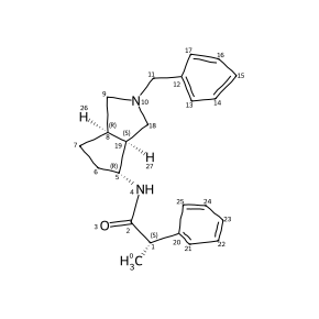 C[C@H](C(=O)N[C@@H]1CC[C@H]2CN(Cc3ccccc3)C[C@H]21)c1ccccc1